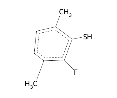 Cc1ccc(C)c(S)c1F